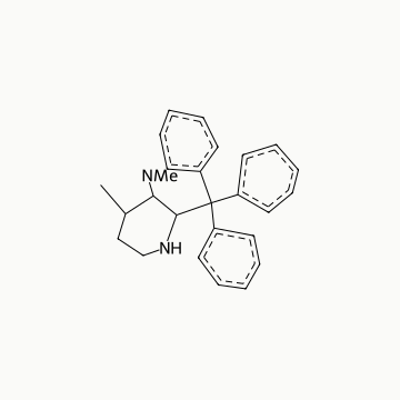 CNC1C(C)CCNC1C(c1ccccc1)(c1ccccc1)c1ccccc1